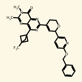 Cc1nc2c(C34CC(C(F)(F)F)(C3)C4)nc(C3=CC(c4ccc(OCc5ccccc5)nc4)OCC3)nc2c(=O)n1C